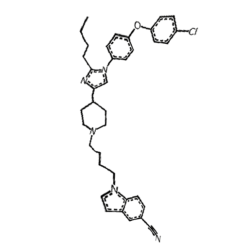 CCCCc1nc(C2CCN(CCCCn3ccc4cc(C#N)ccc43)CC2)cn1-c1ccc(Oc2ccc(Cl)cc2)cc1